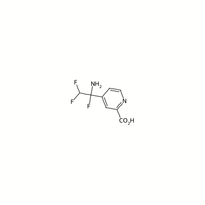 NC(F)(c1ccnc(C(=O)O)c1)C(F)F